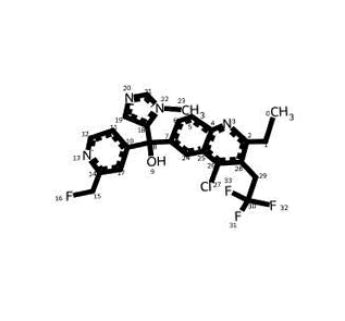 CCc1nc2ccc(C(O)(c3ccnc(CF)c3)c3cncn3C)cc2c(Cl)c1CC(F)(F)F